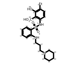 CCc1ccc(NS(=O)(=O)c2ccccc2NCCCN2CCCCC2)c(C(=O)O)c1O